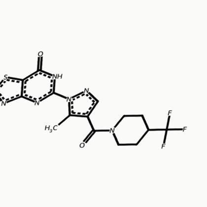 Cc1c(C(=O)N2CCC(C(F)(F)F)CC2)cnn1-c1nc2ncsc2c(=O)[nH]1